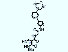 C[C@@H]1CN(c2cccc(-c3csc(NC(=O)CNC(=O)/C(C=N)=C(\Cl)NC(C)(C)C)n3)c2)C[C@H](C)O1